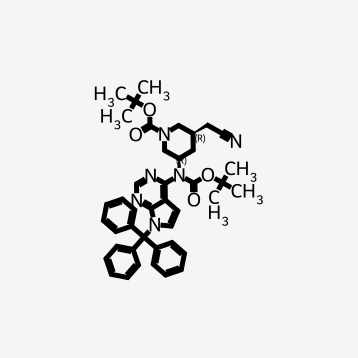 CC(C)(C)OC(=O)N1C[C@@H](CC#N)C[C@@H](N(C(=O)OC(C)(C)C)c2ncnc3c2ccn3C(c2ccccc2)(c2ccccc2)c2ccccc2)C1